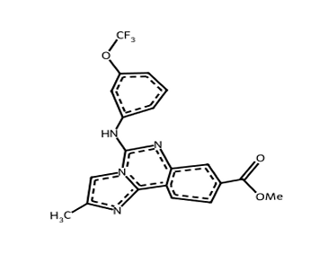 COC(=O)c1ccc2c(c1)nc(Nc1cccc(OC(F)(F)F)c1)n1cc(C)nc21